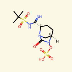 CC(C)(C)S(=O)(=O)NC(=N)[C@@H]1CC[C@@H]2CN1C(=O)N2OS(=O)(=O)O